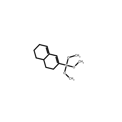 CO[Si](OC)(OC)C1=CC2=CCCCC2CC1